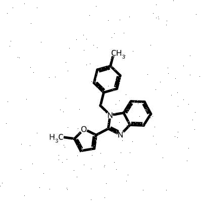 Cc1ccc(Cn2c(-c3ccc(C)o3)nc3ccccc32)cc1